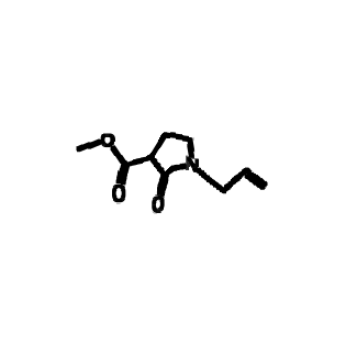 C=CCN1CCC(C(=O)OC)C1=O